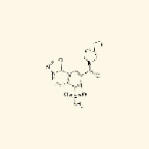 CCCc1c(C2NN=CO2)cc(C(=O)N2CCC3(CCC3)C2)nc1S(N)(=O)=O